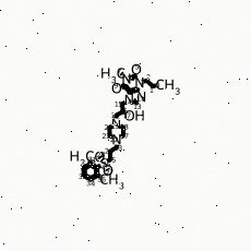 CCCn1c(=O)n(C)c(=O)c2c1ncn2CC(O)CN1CCN(CCCS(=O)(=O)c2c(C)cccc2C)CC1